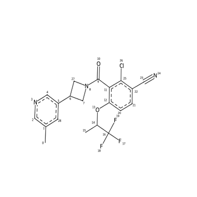 Cc1cncc(C2CN(C(=O)c3c(OC(C)C(F)(F)F)ccc(C#N)c3Cl)C2)c1